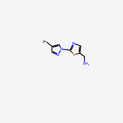 CC(C)c1cnn(-c2ncc(CN)s2)c1